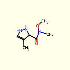 CON(C)C(=O)C1NNC=C1C